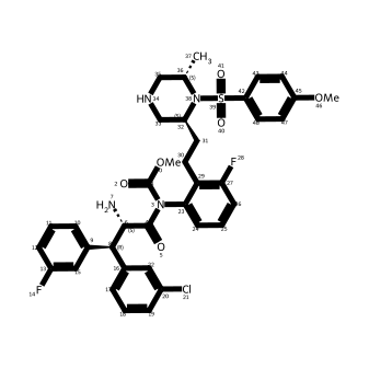 COC(=O)N(C(=O)[C@@H](N)[C@H](c1cccc(F)c1)c1cccc(Cl)c1)c1cccc(F)c1CC[C@H]1CNC[C@H](C)N1S(=O)(=O)c1ccc(OC)cc1